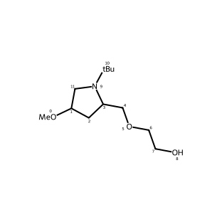 COC1CC(COCCO)N(C(C)(C)C)C1